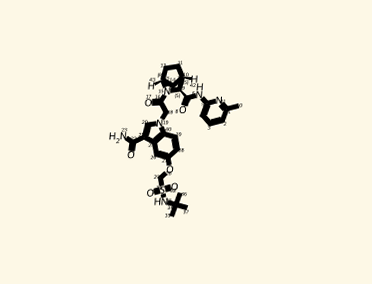 Cc1cccc(NC(=O)[C@@H]2[C@H]3CC[C@H](C3)N2C(=O)Cn2cc(C(N)=O)c3cc(OCS(=O)(=O)NC(C)(C)C)ccc32)n1